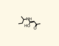 CCC(C)N/C(O)=C/C(C)=O